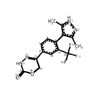 Cc1n[nH]c(C)c1-c1ccc(C2=NNC(=O)OC2)cc1C(F)(F)F